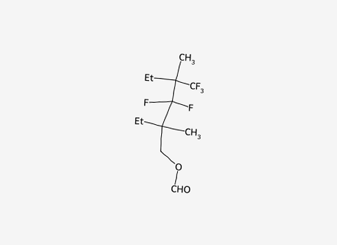 CCC(C)(COC=O)C(F)(F)C(C)(CC)C(F)(F)F